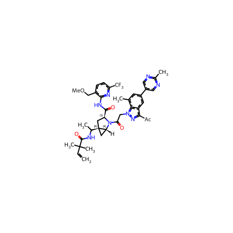 C=CC(C)(C)C(=O)NC(C)[C@@]12C[C@@H](C(=O)Nc3nc(C(F)(F)F)ccc3COC)N(C(=O)Cn3nc(C(C)=O)c4cc(-c5cnc(C)nc5)cc(C)c43)[C@@H]1C2